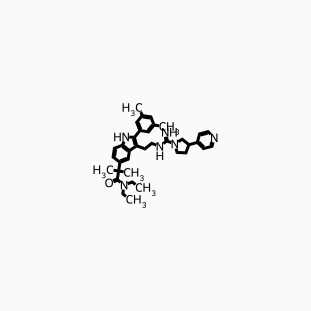 CCN(CC)C(=O)C(C)(C)c1ccc2[nH]c(-c3cc(C)cc(C)c3)c(CCNC(=N)N3CCC(c4ccncc4)C3)c2c1